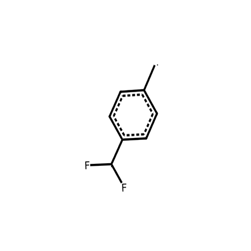 [CH2]c1ccc([C](F)F)cc1